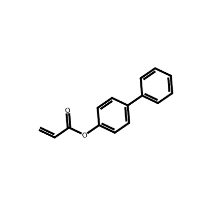 C=CC(=O)Oc1ccc(-c2ccccc2)cc1